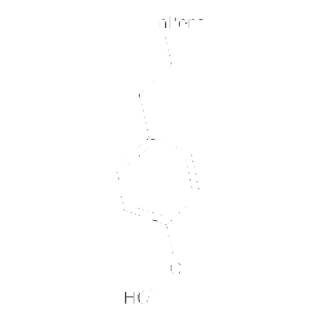 CCCCCCCc1ccc(OO)cc1